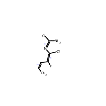 C\C=C/C(F)=C(Cl)\N=C(/N)Cl